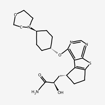 NC(=O)[C@H](O)C[C@H]1CCc2sc3ncnc(O[C@H]4CC[C@H](N5CCOCC5)CC4)c3c21